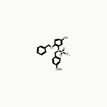 COc1ccc(CN(c2cc(O)ccc2OCc2ccccc2)S(=O)(=O)C(F)(F)F)cc1